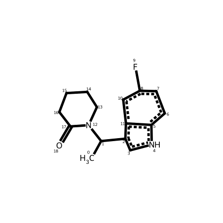 CC(c1c[nH]c2ccc(F)cc12)N1CCCCC1=O